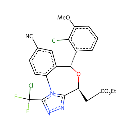 CCOC(=O)C[C@@H]1O[C@@H](c2cccc(OC)c2Cl)c2cc(C#N)ccc2-n2c1nnc2C(F)(F)Cl